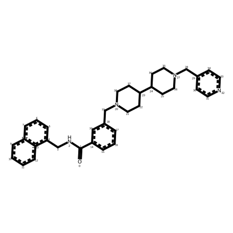 O=C(NCc1cccc2ccccc12)c1cccc(CN2CCC(C3CCN(Cc4ccncc4)CC3)CC2)c1